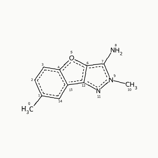 Cc1ccc2oc3c(N)n(C)nc3c2c1